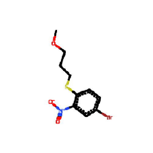 COCCCSc1ccc(Br)cc1[N+](=O)[O-]